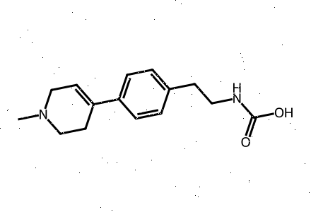 CN1CC=C(c2ccc(CCNC(=O)O)cc2)CC1